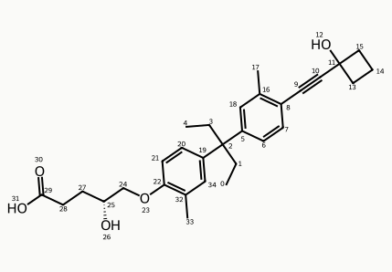 CCC(CC)(c1ccc(C#CC2(O)CCC2)c(C)c1)c1ccc(OC[C@H](O)CCC(=O)O)c(C)c1